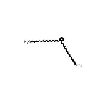 CCCCCCCCCCCCCCCCCCc1ccccc1CCCCCCCCCCCCCCCCCC